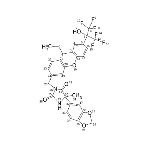 CCCc1cc(C(O)(C(F)(F)F)C(F)(F)F)ccc1Oc1cccc(CN2C(=O)NC(C)(c3ccc4c(c3)OCO4)C2=O)c1